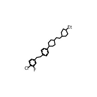 CCC1CCC(CCC2CCC(c3ccc(CCc4ccc(Cl)c(F)c4)cc3)CC2)CC1